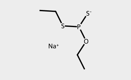 CCOP([S-])SCC.[Na+]